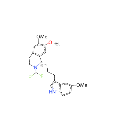 CCOc1cc2c(cc1OC)CCN(C(F)F)[C@H]2CCCc1c[nH]c2ccc(OC)cc12